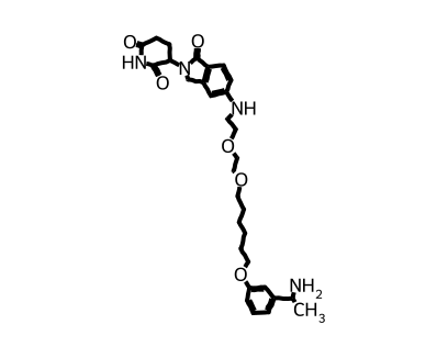 CC(N)c1cccc(OCCCCCCOCCOCCNc2ccc3c(c2)CN(C2CCC(=O)NC2=O)C3=O)c1